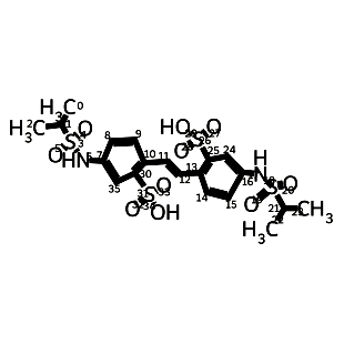 CC(C)S(=O)(=O)Nc1ccc(C=Cc2ccc(NS(=O)(=O)C(C)C)cc2S(=O)(=O)O)c(S(=O)(=O)O)c1